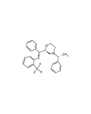 C[C@H](c1ccccc1)N1CCO[C@H]([C@@H](Sc2ccccc2C(F)(F)F)c2ccccc2)C1